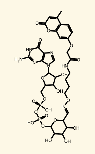 Cc1cc(=O)oc2cc(OCC(=O)NCCCCON=CC3OC(OP(=O)(O)OP(=O)(O)OCC4OC(n5cnc6c(=O)[nH]c(N)nc65)C(O)C4O)C(O)C(O)C3O)ccc12